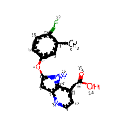 Cc1cc(Oc2cc3nccc(C(=O)O)c3[nH]2)ccc1F